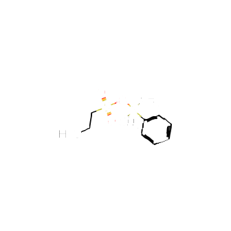 CCCS(=O)(=O)OS(C)(C)c1ccccc1